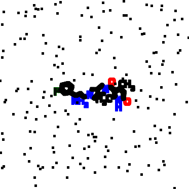 Cc1cc(=O)[nH]c(C)c1C(=O)N1CC2CN(CCC(N)c3cccc(F)c3)CC2C1